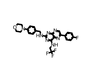 Fc1ccc(-c2cnc3nc(NCc4ccc(N5CCOCC5)cc4)nc(NCC(F)(F)F)c3n2)cc1